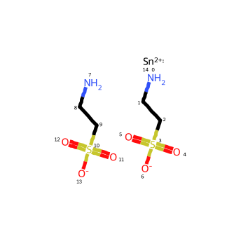 NCCS(=O)(=O)[O-].NCCS(=O)(=O)[O-].[Sn+2]